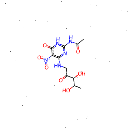 CC(=O)Nc1nc(NCC(=O)[C@@H](O)C(C)O)c([N+](=O)[O-])c(=O)[nH]1